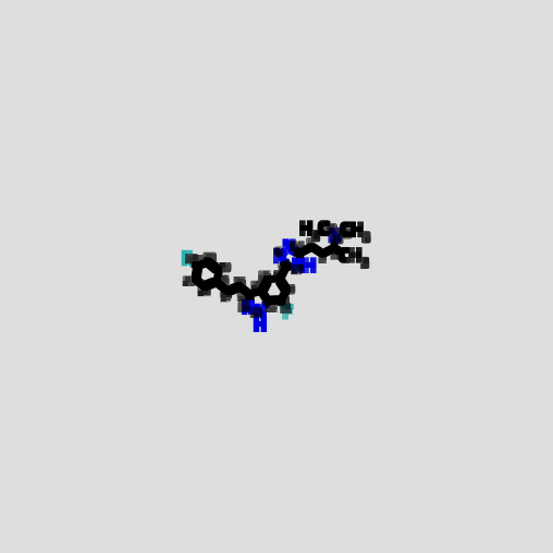 CC(CCc1nnc(-c2cc(F)c3[nH]nc(C=Cc4ccc(F)cc4)c3c2)[nH]1)N(C)C